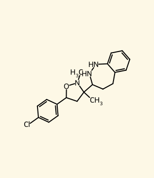 CN1OC(c2ccc(Cl)cc2)CC1(C)C1CCc2ccccc2NN1